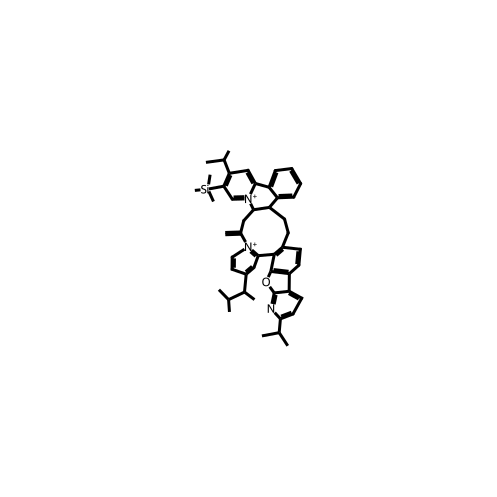 C=C1CC2C(CCc3ccc4c(oc5nc(C(C)C)ccc54)c3-c3cc(C(C)C(C)C)cc[n+]31)c1ccccc1-c1cc(C(C)C)c([Si](C)(C)C)c[n+]12